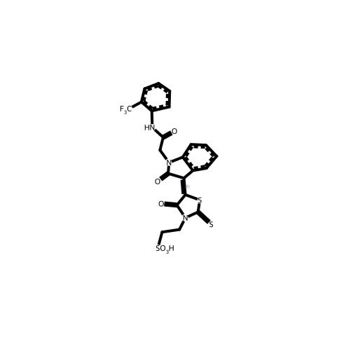 O=C(CN1C(=O)/C(=C2/SC(=S)N(CCS(=O)(=O)O)C2=O)c2ccccc21)Nc1ccccc1C(F)(F)F